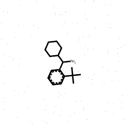 CC(C)(C)c1ccccc1C(P)C1CCCCC1